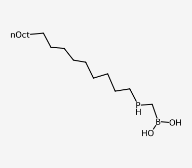 CCCCCCCCCCCCCCCCCPCB(O)O